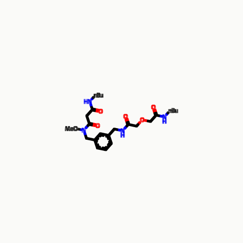 CCCCNC(=O)COCC(=O)NCc1cccc(CN(OC)C(=O)CC(=O)NCCCC)c1